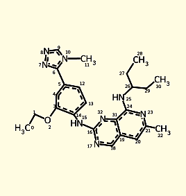 CCOc1cc(-c2nncn2C)ccc1Nc1ncc2cc(C)nc(NC(CC)CC)c2n1